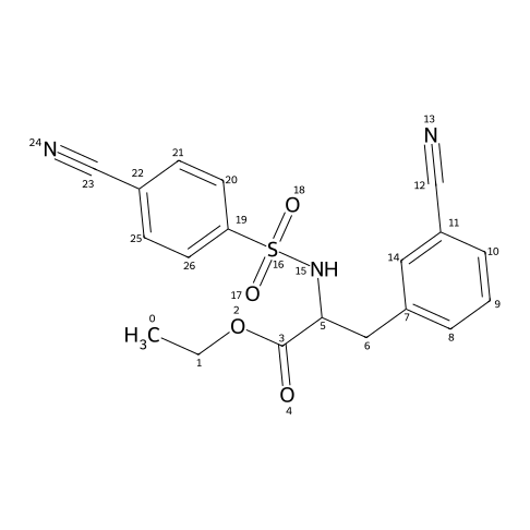 CCOC(=O)C(Cc1cccc(C#N)c1)NS(=O)(=O)c1ccc(C#N)cc1